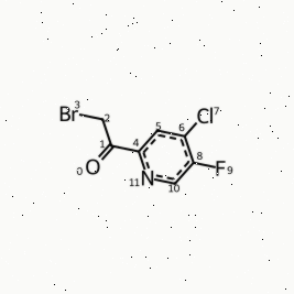 O=C(CBr)c1cc(Cl)c(F)cn1